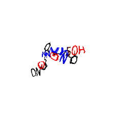 O=Nc1ccc(/C=C/c2nc(NC(=O)c3csc(-c4ccccc4O)n3)c3ccccc3n2)o1